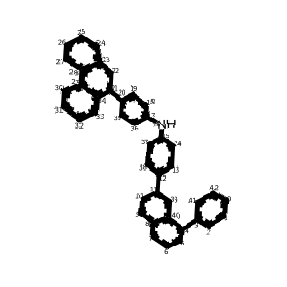 c1ccc(-c2cccc3ccc(-c4ccc(Nc5ccc(-c6cc7ccccc7c7ccccc67)cc5)cc4)cc23)cc1